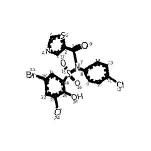 O=C(c1cncs1)N(c1ccc(Cl)cc1)S(=O)(=O)c1cc(Br)cc(Cl)c1O